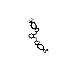 CC1(C)CCC2(CCC(OC3CCCCC3OC3CCC4(CCC(C)(C)CC4)O3)O2)CC1